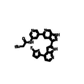 CC(C)(C)CC(=O)Nc1cncc(-c2cc3c(-c4cc5c(-c6ccc(F)s6)ccnc5[nH]4)n[nH]c3cn2)c1